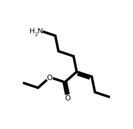 CCC=C(CCCN)C(=O)OCC